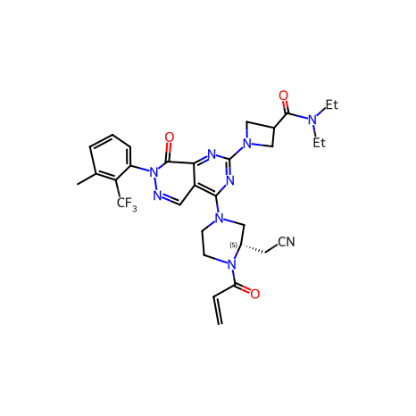 C=CC(=O)N1CCN(c2nc(N3CC(C(=O)N(CC)CC)C3)nc3c(=O)n(-c4cccc(C)c4C(F)(F)F)ncc23)C[C@@H]1CC#N